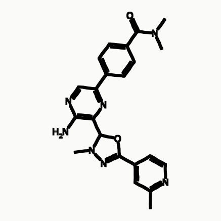 Cc1cc(C2=NN(C)C(c3nc(-c4ccc(C(=O)N(C)C)cc4)cnc3N)O2)ccn1